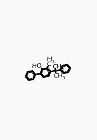 Cc1c(C(C)(C)c2ccccc2)ccc(-c2ccccc2)c1O